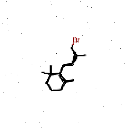 CC(=CCC1=C(C)CCCC1(C)C)CBr